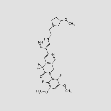 COc1cc(OC)c(F)c(N2Cc3cnc(/C(C=N)=C/NCCN4CCC(OC)C4)cc3C3(CC3)C2=O)c1F